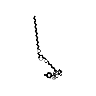 CCCCCCCCCCCCCCCCOCC1COC(COCCCCCCN2C=CSC2OS(=O)(=O)c2ccc(C)cc2)C1